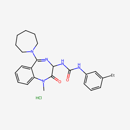 CCc1cccc(NC(=O)NC2N=C(N3CCCCCC3)c3ccccc3N(C)C2=O)c1.Cl